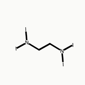 IN(I)CCN(I)I